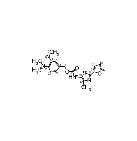 C=Nc1cc(COC(=O)Nc2sc(-c3ccco3)nc2C)ccc1N(C)C